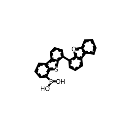 OB(O)c1cccc2c1sc1c(-c3cccc4c3oc3ccccc34)cccc12